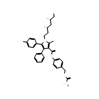 CCCCCCCCNC(=O)OCc1ccc(NC(=O)c2c(-c3ccccc3)c(-c3ccc(F)cc3)n(CC[C@@H](O)C[C@@H](O)CC(=O)O)c2C(C)C)cc1